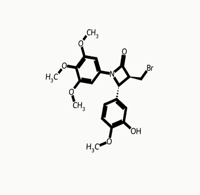 COc1ccc([C@H]2[C@H](CBr)C(=O)N2c2cc(OC)c(OC)c(OC)c2)cc1O